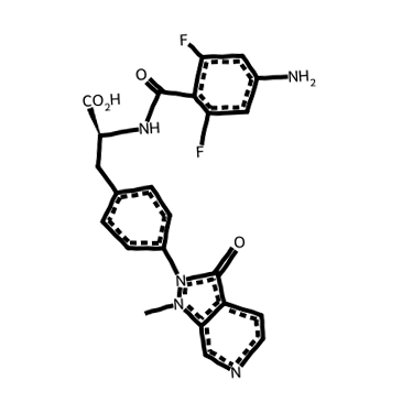 Cn1c2cnccc2c(=O)n1-c1ccc(C[C@H](NC(=O)c2c(F)cc(N)cc2F)C(=O)O)cc1